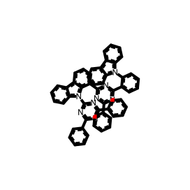 c1ccc(-c2nc(-c3ccccc3-n3c4ccccc4c4ccccc43)nc(-c3cccc4c5ccccc5n(-c5nc(-c6ccccc6)nc(-c6ccccc6)n5)c34)n2)cc1